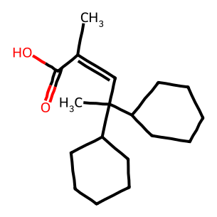 CC(=CC(C)(C1CCCCC1)C1CCCCC1)C(=O)O